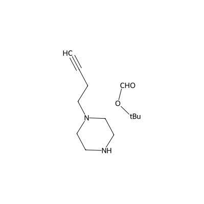 C#CCCN1CCNCC1.CC(C)(C)OC=O